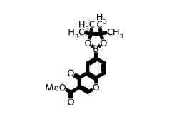 COC(=O)c1coc2ccc(B3OC(C)(C)C(C)(C)O3)cc2c1=O